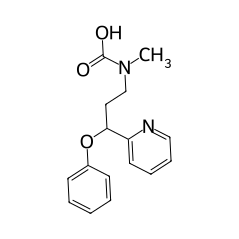 CN(CCC(Oc1ccccc1)c1ccccn1)C(=O)O